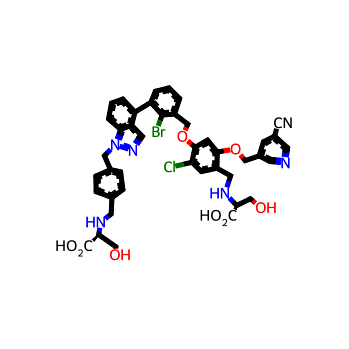 N#Cc1cncc(COc2cc(OCc3cccc(-c4cccc5c4cnn5Cc4ccc(CN[C@@H](CO)C(=O)O)cc4)c3Br)c(Cl)cc2CN[C@@H](CO)C(=O)O)c1